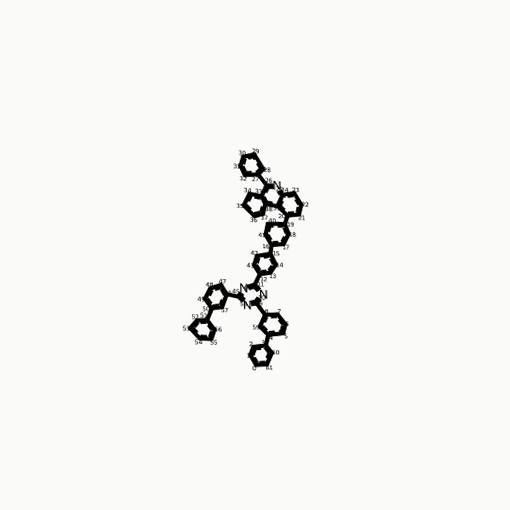 c1ccc(-c2cccc(-c3nc(-c4ccc(-c5ccc(-c6cccc7nc(-c8ccccc8)c8ccccc8c67)cc5)cc4)nc(-c4cccc(-c5ccccc5)c4)n3)c2)cc1